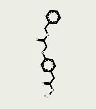 COC(=O)Cc1ccc(OCC(=O)OCc2ccccc2)cc1